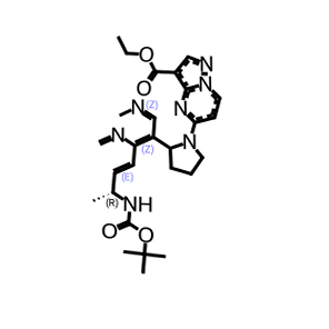 C=NC(/C=C/[C@@H](C)NC(=O)OC(C)(C)C)=C(\C=N/C)C1CCCN1c1ccn2ncc(C(=O)OCC)c2n1